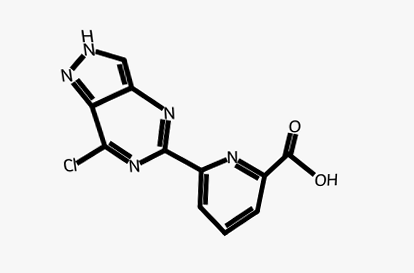 O=C(O)c1cccc(-c2nc(Cl)c3n[nH]cc3n2)n1